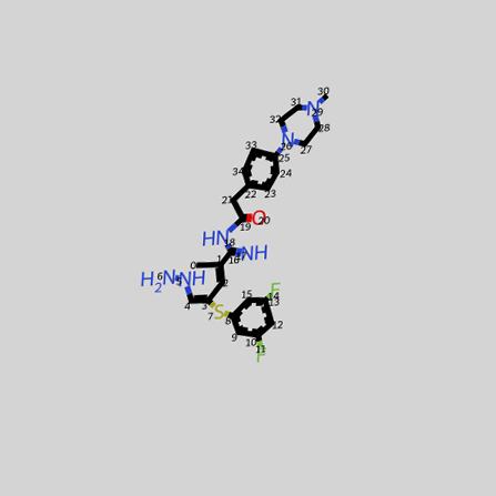 C/C(=C\C(=C/NN)Sc1cc(F)cc(F)c1)C(=N)NC(=O)Cc1ccc(N2CCN(C)CC2)cc1